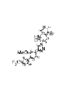 COc1cc(-c2cn(C3CCC4C(Br)=CC=CC4NC3=O)nn2)ccc1-n1cnc(C(F)(F)F)c1